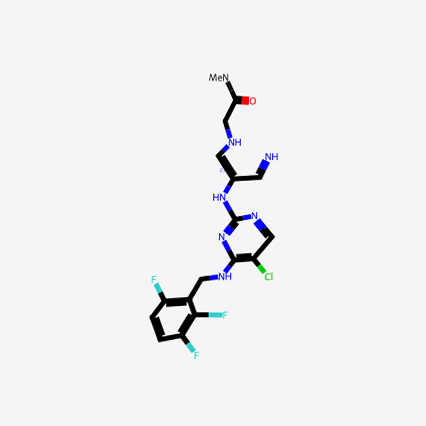 CNC(=O)CN/C=C(\C=N)Nc1ncc(Cl)c(NCc2c(F)ccc(F)c2F)n1